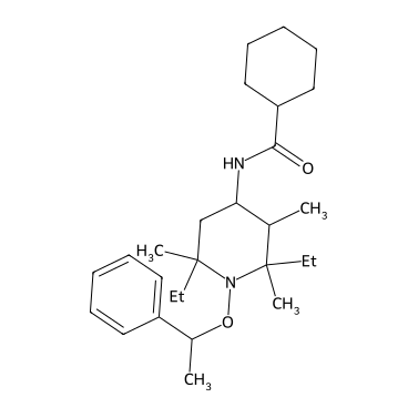 CCC1(C)CC(NC(=O)C2CCCCC2)C(C)C(C)(CC)N1OC(C)c1ccccc1